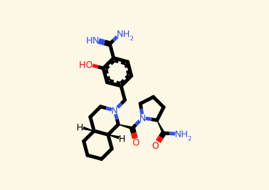 N=C(N)c1ccc(CN2CC[C@H]3CCCC[C@H]3[C@@H]2C(=O)N2CCC[C@H]2C(N)=O)cc1O